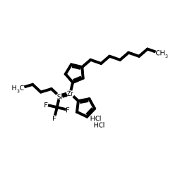 CCCCCCCCC1=CC[C](/[Zr]([C]2=CC=CC2)=[Si](\CCCC)C(F)(F)F)=C1.Cl.Cl